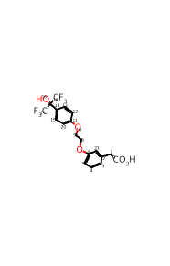 O=C(O)Cc1cccc(OCCOc2ccc(C(O)(C(F)(F)F)C(F)(F)F)cc2)c1